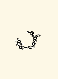 CC(C)(O)c1cc2nc([C@H]3CC[C@H](C(=O)N4CCN(CCCNc5cccc6c5C(=O)N(C5CCC(=O)NC5=O)C6=O)CC4)CC3)sc2cc1NC(=O)c1cccc(C#N)n1